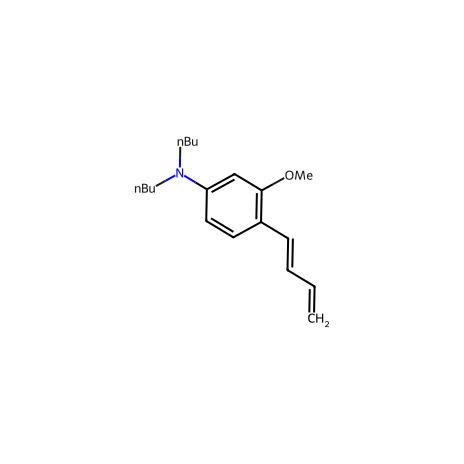 C=C/C=C/c1ccc(N(CCCC)CCCC)cc1OC